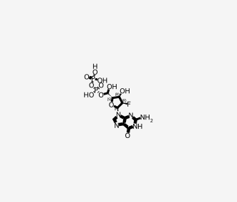 Nc1nc2c(ncn2[C@@H]2O[C@H](C(O)OP(=O)(O)OP(=O)(O)O)[C@@H](O)[C@H]2F)c(=O)[nH]1